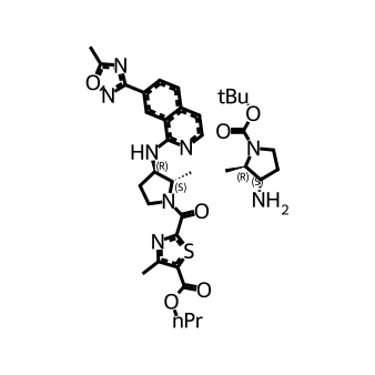 CCCOC(=O)c1sc(C(=O)N2CC[C@@H](Nc3nccc4ccc(-c5noc(C)n5)cc34)[C@@H]2C)nc1C.C[C@@H]1[C@@H](N)CCN1C(=O)OC(C)(C)C